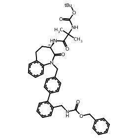 CC(C)(C)OC(=O)NC(C)(C)C(=O)N[C@@H]1CCc2ccccc2N(Cc2ccc(-c3ccccc3CNC(=O)OCc3ccccc3)cc2)C1=O